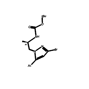 CC(=O)c1cc(Br)nn1C[C@@H](C)NC(=O)OC(C)(C)C